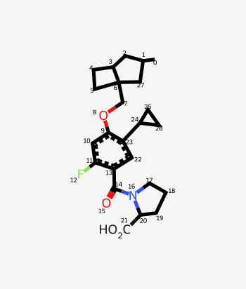 CC1CC2CCC2(COc2cc(F)c(C(=O)N3CCCC3C(=O)O)cc2C2CC2)C1